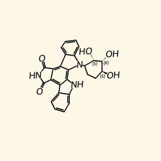 O=C1NC(=O)c2c1c1c3ccccc3[nH]c1c1c2c2ccccc2n1C1CC[C@H](O)[C@@H](O)[C@H]1O